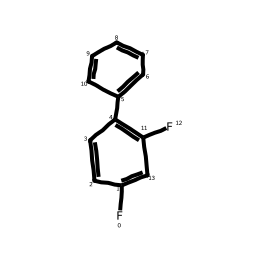 Fc1ccc(-c2c[c]ccc2)c(F)c1